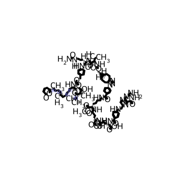 C/C=C/[C@@H]1O[C@H]([C@H](/C=C/C=C(\C)C[C@@H](C)/C=C\C=C(/C)[C@H]2CC=CC(=O)O2)NC(=O)OCc2ccc(NC(=O)[C@H](CCCNC(N)=O)NC(=O)[C@@H](NC(=O)OC[C@@H]3[C@@H]4CCc5nnn(-c6ccc(C(=O)NCCCC[C@H](NC(=O)CC[C@H](NC(=O)CC[C@H](NC(=O)c7ccc(NCc8cnc9nc(N)[nH]c(=O)c9n8)cc7)C(=O)O)C(=O)O)C(=O)OC)cc6)c5CC[C@@H]43)C(C)C)cc2)C[C@@H](O)[C@@H]1C